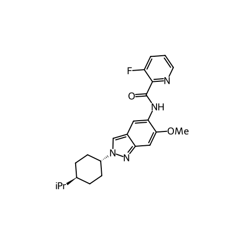 COc1cc2nn([C@H]3CC[C@H](C(C)C)CC3)cc2cc1NC(=O)c1ncccc1F